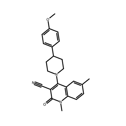 COc1ccc(C2CCN(c3c(C#N)c(=O)n(C)c4ccc(C)cc34)CC2)cc1